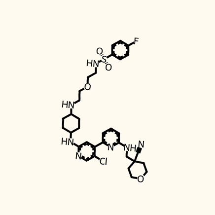 N#CC1(CNc2cccc(-c3cc(NC4CCC(NCCOCCNS(=O)(=O)c5ccc(F)cc5)CC4)ncc3Cl)n2)CCOCC1